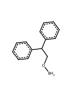 BOCC(c1ccccc1)c1ccccc1